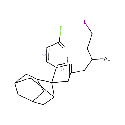 C=C(F)/C=C\C(=C/C)C1(CC(=C)CC(CCI)C(C)=O)C2CC3CC(C2)CC1C3